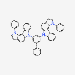 c1ccc(-c2cc(-n3c4ccccc4c4c5c(ccc43)ccn5-c3ccccc3)cc(-n3c4ccccc4c4c5c(ccc43)ccn5-c3ccccc3)c2)cc1